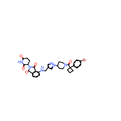 O=C1CCC(N2C(=O)c3cccc(NCc4cnn(C5CCN(C(=O)C6(c7ccc(Br)cc7)CCC6)CC5)c4)c3C2=O)C(=O)N1